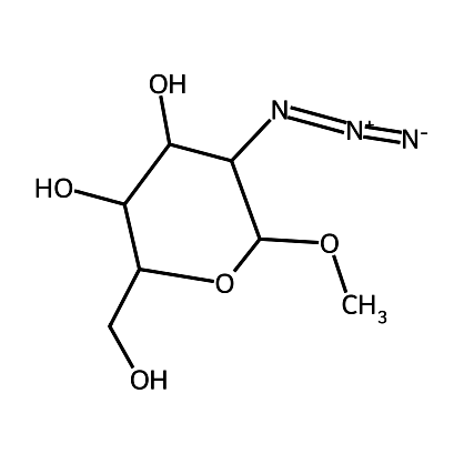 COC1OC(CO)C(O)C(O)C1N=[N+]=[N-]